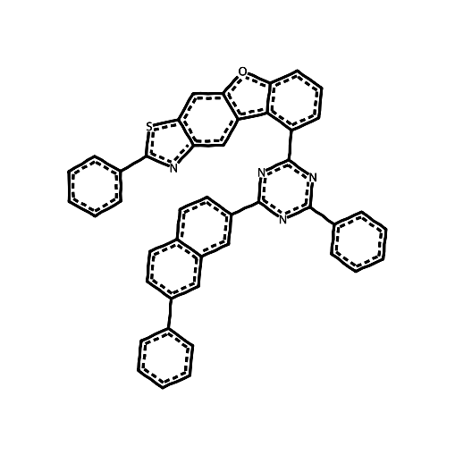 c1ccc(-c2ccc3ccc(-c4nc(-c5ccccc5)nc(-c5cccc6oc7cc8sc(-c9ccccc9)nc8cc7c56)n4)cc3c2)cc1